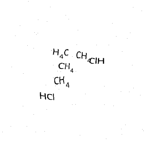 C.C.C.C.Cl.Cl